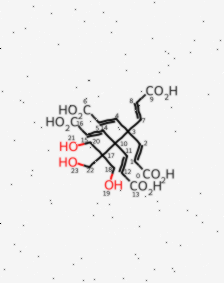 O=C(O)C=CC(C=CC(=O)O)(C=CC(=O)O)C(C=CC(=O)O)(C=CC(=O)O)C(CO)(CO)CO